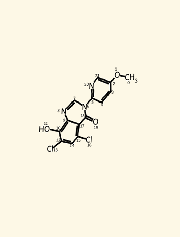 COc1ccc(-n2cnc3c(O)c(Cl)cc(Cl)c3c2=O)nc1